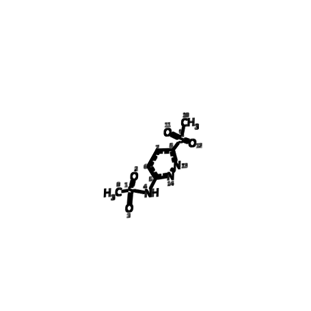 CS(=O)(=O)Nc1ccc(S(C)(=O)=O)nn1